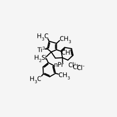 CCCC1(CC2([SiH2]c3cc(C)cc(C)c3)C(C)=C(C)C(C)=[C]2[Ti+3])C=CC=CC1.[Cl-].[Cl-].[Cl-]